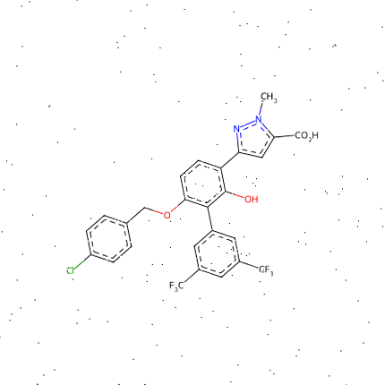 Cn1nc(-c2ccc(OCc3ccc(Cl)cc3)c(-c3cc(C(F)(F)F)cc(C(F)(F)F)c3)c2O)cc1C(=O)O